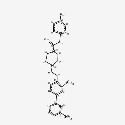 Cc1cc(-c2cccc(N)n2)ccc1CCN1CCN(C(=O)Cc2ccc(F)cc2)CC1